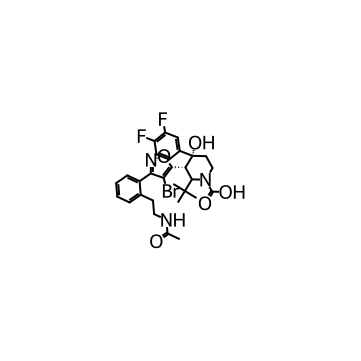 CC(=O)NCCc1ccccc1-c1noc([C@H]2C(C(C)(C)C)N(C(=O)O)CC[C@]2(O)c2ccc(F)c(F)c2)c1Br